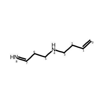 C=CCCNCCC=N